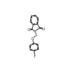 O=C1c2ccccc2C(=O)N1SOc1ccc(F)cc1